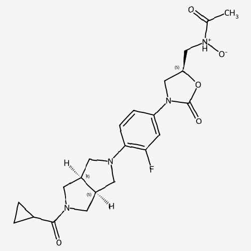 CC(=O)[NH+]([O-])C[C@@H]1CN(c2ccc(N3C[C@H]4CN(C(=O)C5CC5)C[C@H]4C3)c(F)c2)C(=O)O1